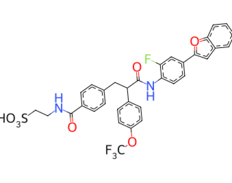 O=C(NCCS(=O)(=O)O)c1ccc(CC(C(=O)Nc2ccc(-c3cc4ccccc4o3)cc2F)c2ccc(OC(F)(F)F)cc2)cc1